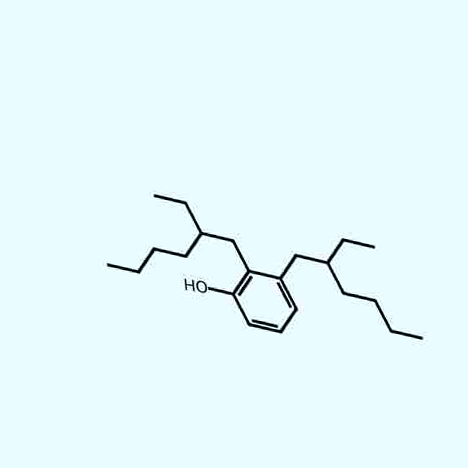 CCCCC(CC)Cc1cccc(O)c1CC(CC)CCCC